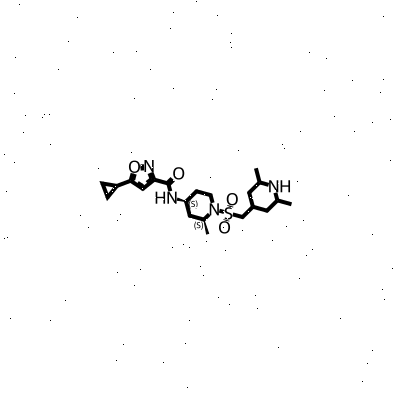 CC1CC(CS(=O)(=O)N2CC[C@H](NC(=O)c3cc(C4CC4)on3)C[C@@H]2C)CC(C)N1